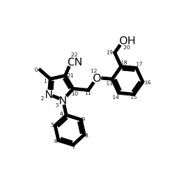 Cc1nn(-c2ccccc2)c(COc2ccccc2CO)c1C#N